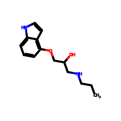 CCCNCC(O)COc1cccc2[nH]ccc12